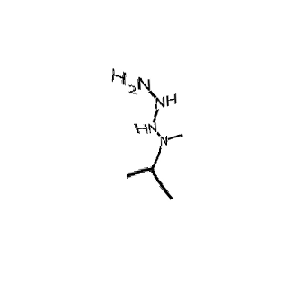 CC(C)N(C)NNN